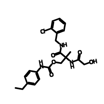 CCc1ccc(NC(=O)OCC(C)(NC(=O)CO)C(=O)NCc2ccccc2Cl)cc1